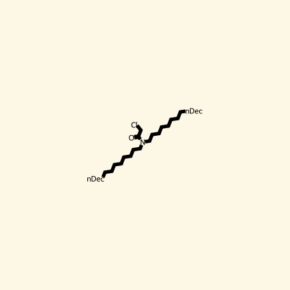 CCCCCCCCCCCCCCCCCCN(CCCCCCCCCCCCCCCCCC)C(=O)CCl